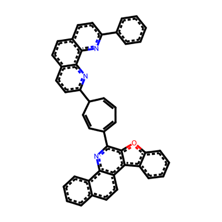 C1=CC(c2ccc3ccc4ccc(-c5ccccc5)nc4c3n2)C=CC(c2nc3c4ccccc4ccc3c3c2oc2ccccc23)=C1